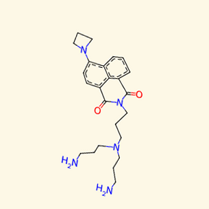 NCCCN(CCCN)CCCN1C(=O)c2cccc3c(N4CCC4)ccc(c23)C1=O